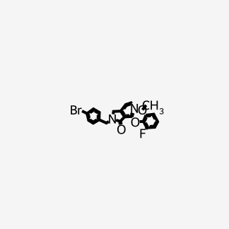 COc1cccc(F)c1Oc1nccc2c1C(=O)N(Cc1ccc(Br)cc1)C2